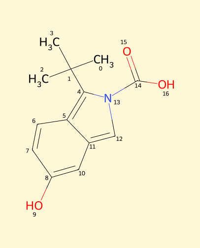 CC(C)(C)c1c2ccc(O)cc2cn1C(=O)O